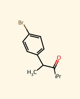 CC(C)C(=O)C(C)c1ccc(Br)cc1